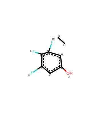 CC.Oc1cc(F)c(F)c(F)c1